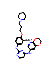 COc1cc(Nc2nccc(Nc3cnc4c(c3)OCCO4)n2)ccc1OCCCN1CCCCC1